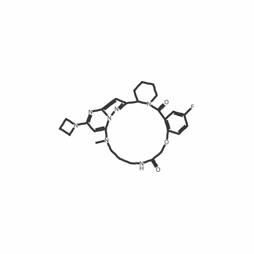 CN1CCCNC(=O)COc2ccc(F)cc2C(=O)N2CCCCC2c2cc3nc(N4CCC4)cc1n3n2